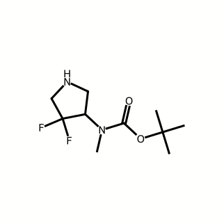 CN(C(=O)OC(C)(C)C)C1CNCC1(F)F